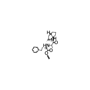 C#COC(=O)[C@H](CCc1ccccc1)NC(C)C(=O)N1[C@H](C)C[C@@H]2CCC[C@@H]21